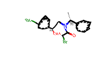 C[C@H](c1ccccc1)N(C[C@@H](O)c1ccc(Br)cc1)C(=O)CBr